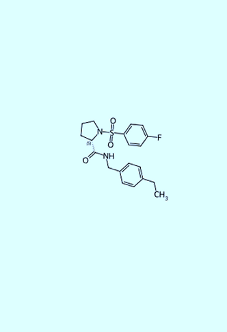 CCc1ccc(CNC(=O)[C@@H]2CCCN2S(=O)(=O)c2ccc(F)cc2)cc1